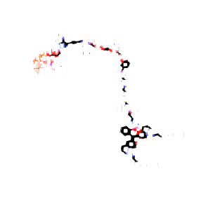 CN(CCCC(=O)NCCSSCCC(=O)NCCNC(=O)c1cccc(OCC(N)OCCOCC(=O)NCC#Cc2cn([C@H]3C[C@@H](OCN)C(COP(=O)(O)OP(=O)(O)OP(=O)(O)O)O3)c3ncnc(N)c23)c1)C(=O)c1ccccc1-c1c2cc3c(cc2[o+]c2cc4c(cc12)CCCN4CCCS(=O)(=O)O)N(CCCS(=O)(=O)O)CCC3